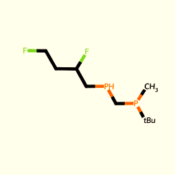 CP(CPCC(F)CCF)C(C)(C)C